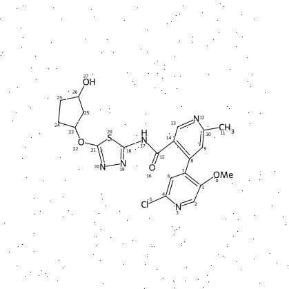 COc1cnc(Cl)cc1-c1cc(C)ncc1C(=O)Nc1nnc(OC2CCC(O)C2)s1